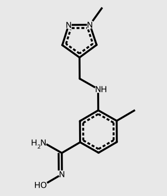 Cc1ccc(C(N)=NO)cc1NCc1cnn(C)c1